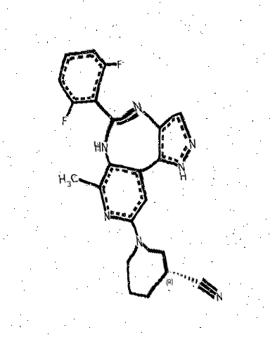 Cc1nc(N2CCC[C@@H](C#N)C2)cc2c1NC(c1c(F)cccc1F)=Nc1cn[nH]c1-2